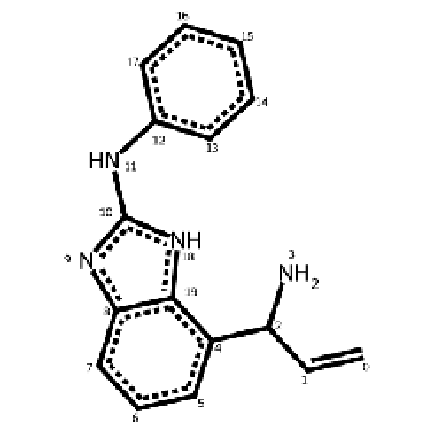 C=CC(N)c1cccc2nc(Nc3ccccc3)[nH]c12